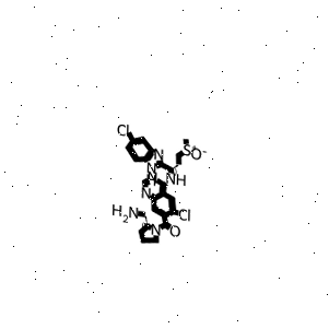 C[S+]([O-])CC[C@H](Nc1ncnc2cc(C(=O)N3CCC[C@@H]3CN)c(Cl)cc12)c1nc2cc(Cl)ccc2[nH]1